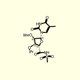 CO[C@@H]1[C@H](OC(C)C)[C@@H](C(=O)NS(C)(=O)=O)O[C@H]1n1cc(C)c(=O)[nH]c1=O